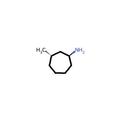 C[C@H]1CCCC[C@H](N)C1